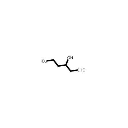 CCC(C)CCC(O)C[C]=O